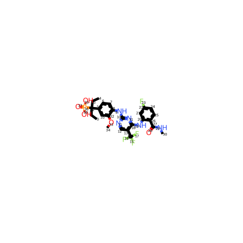 CCC(CC)(c1ccc(Nc2ncc(C(F)(F)F)c(Nc3cc(F)ccc3C(=O)NC)n2)c(OC)c1)P(=O)(O)O